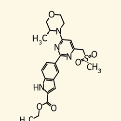 CCOC(=O)c1cc2cc(-c3nc(CS(C)(=O)=O)cc(N4CCOC[C@@H]4C)n3)ccc2[nH]1